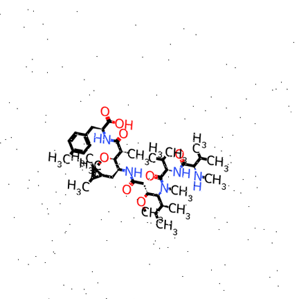 CC[C@H](C)[C@@H]([C@@H](CC(=O)N[C@@H](CC1C(C)=C1C)[C@H](OC)[C@@H](C)C(=O)N[C@@H](Cc1ccc(C)cc1)C(=O)O)OC)N(C)C(=O)[C@@H](NC(=O)[C@@H](NC)C(C)C)C(C)C